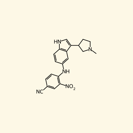 CN1CCC(c2c[nH]c3ccc(Nc4ccc(C#N)cc4[N+](=O)[O-])cc23)C1